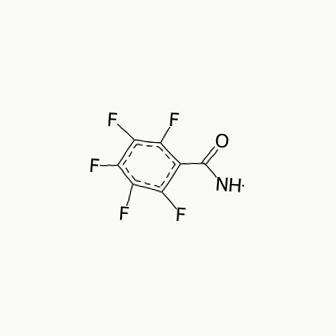 [NH]C(=O)c1c(F)c(F)c(F)c(F)c1F